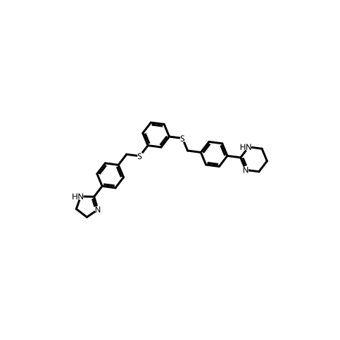 c1cc(SCc2ccc(C3=NCCCN3)cc2)cc(SCc2ccc(C3=NCCN3)cc2)c1